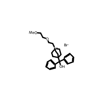 COCCOCC[N+]12CCC(C(O)(c3ccccc3)c3ccccc3)(CC1)CC2.[Br-]